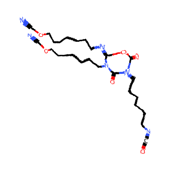 N#COCCCCCC/N=c1/oc(=O)n(CCCCCCN=C=O)c(=O)n1CCCCCCOC#N